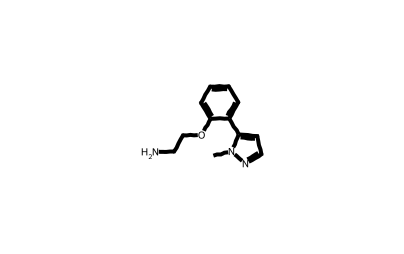 Cn1nccc1-c1ccccc1OCCN